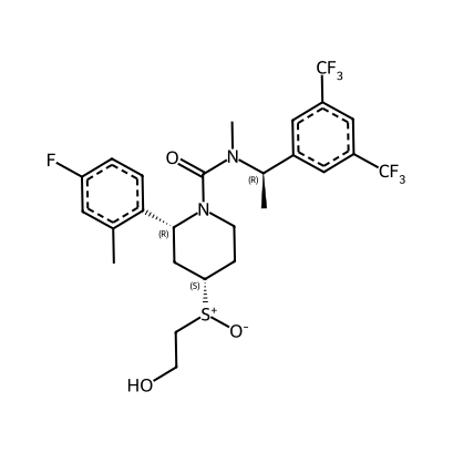 Cc1cc(F)ccc1[C@H]1C[C@@H]([S+]([O-])CCO)CCN1C(=O)N(C)[C@H](C)c1cc(C(F)(F)F)cc(C(F)(F)F)c1